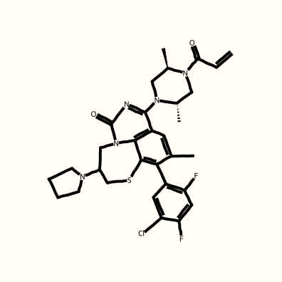 C=CC(=O)N1C[C@H](C)N(c2nc(=O)n3c4c(c(-c5cc(Cl)c(F)cc5F)c(C)cc24)SCC(N2CCCC2)C3)C[C@H]1C